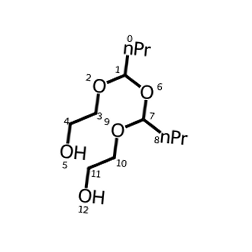 CCCC(OCCO)OC(CCC)OCCO